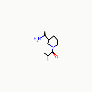 C=C(N)C1CCCN(C(=O)C(C)C)C1